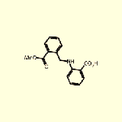 COC(=O)c1ccccc1CNc1ccccc1C(=O)O